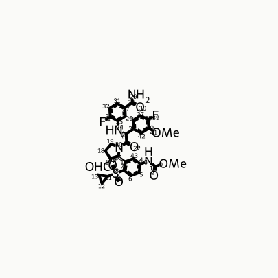 COC(=O)Nc1ccc(S(=O)(=O)C2CC2)c([C@H]2[C@H](C=O)CCN2C(=O)[C@H](Nc2cc(C(N)=O)ccc2F)c2ccc(F)c(OC)c2)c1